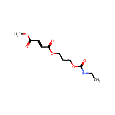 CCNC(=O)OCCCOC(=O)/C=C/C(=O)OC